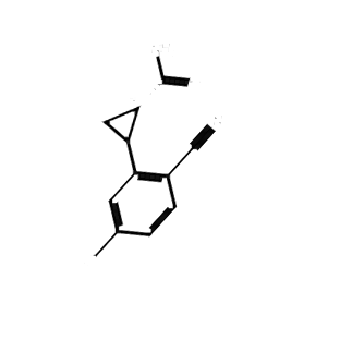 N#Cc1ccc(Cl)cc1C1C[C@@H]1C(N)=O